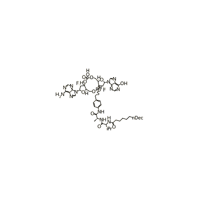 CCCCCCCCCCCCCCCC(=O)N[C@H](C(=O)N[C@@H](C)C(=O)Nc1ccc(CSP2(=O)OC[C@H]3O[C@@H](n4cnc5c(N)ncnc54)[C@H](F)[C@@H]3OP(=O)(O)OC[C@H]3O[C@@H](n4cnc5c(O)ncnc54)[C@H](F)[C@@H]32)cc1)C(C)C